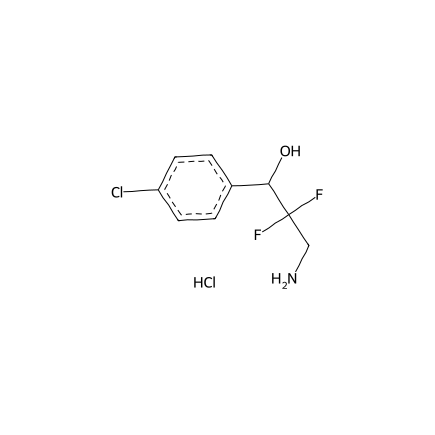 Cl.NCC(F)(F)C(O)c1ccc(Cl)cc1